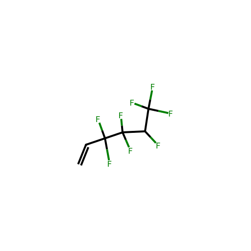 C=CC(F)(F)C(F)(F)C(F)C(F)(F)F